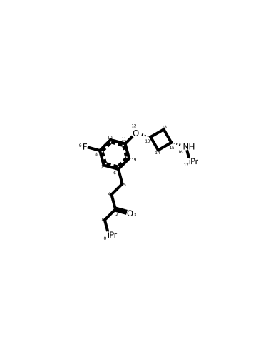 CC(C)CC(=O)CCc1cc(F)cc(O[C@H]2C[C@@H](NC(C)C)C2)c1